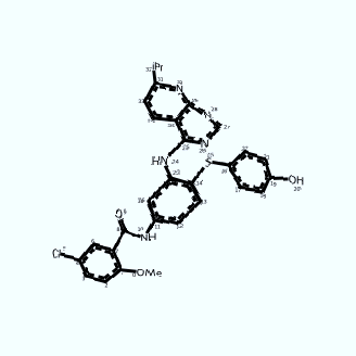 COc1ccc(Cl)cc1C(=O)Nc1ccc(Sc2ccc(O)cc2)c(Nc2ncnc3nc(C(C)C)ccc23)c1